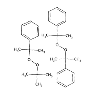 CC(C)(C)OOC(C)(C)c1ccccc1.CC(C)(OOC(C)(C)c1ccccc1)c1ccccc1